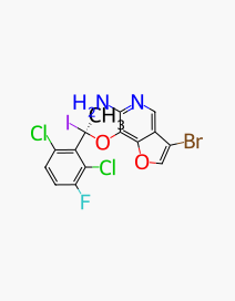 C[C@](I)(Oc1c(N)ncc2c(Br)coc12)c1c(Cl)ccc(F)c1Cl